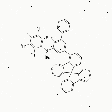 [2H]c1c([2H])c(N(c2cc(-c3cccc4c3-c3ccccc3C43c4ccccc4-c4ccccc43)cc(-c3ccccc3)c2F)C(C)(C)C)c(F)c([2H])c1C